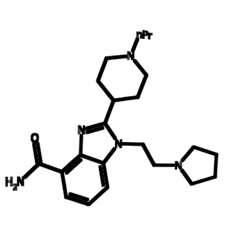 CCCN1CCC(c2nc3c(C(N)=O)cccc3n2CCN2CCCC2)CC1